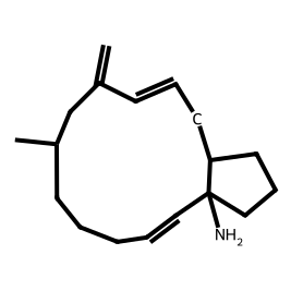 C=C1/C=C/CC2CCCC2(N)/C=C/CCCC(C)C1